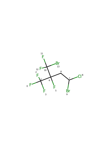 FC(F)(F)C(F)(CC(Cl)Br)C(F)(F)Br